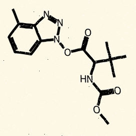 COC(=O)NC(C(=O)On1nnc2c(C)cccc21)C(C)(C)C